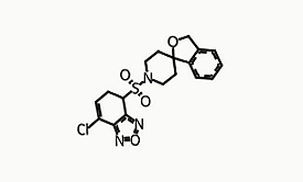 O=S(=O)(C1CC=C(Cl)c2nonc21)N1CCC2(CC1)OCc1ccccc12